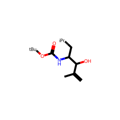 C=C(C)C(O)C(CC(C)C)NC(=O)OC(C)(C)C